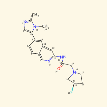 Cc1ncc(-c2ccc3cnc(NC(=O)CN4CC[C@@H](F)C4)cc3c2)n1C